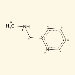 CNCc1[c]cccn1